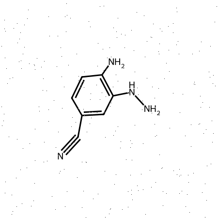 N#Cc1ccc(N)c(NN)c1